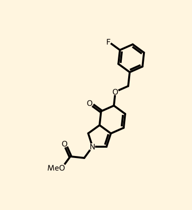 COC(=O)CN1C=C2C=CC(OCc3cccc(F)c3)C(=O)C2C1